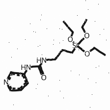 CCO[Si](CCCNC(=O)Nc1cccnc1)(OCC)OCC